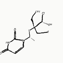 C[C@@H](O[C@@](CO)(CF)[C@@H](O)Cl)n1ccc(=O)[nH]c1=O